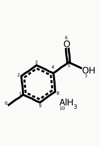 Cc1ccc(C(=O)O)cc1.[AlH3]